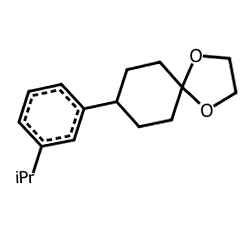 CC(C)c1cccc(C2CCC3(CC2)OCCO3)c1